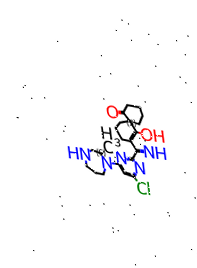 C[C@H]1CNCCCN1c1cc(Cl)nc(C(=N)C2=C(O)[C@]3(CCCCC3=O)CCC2)n1